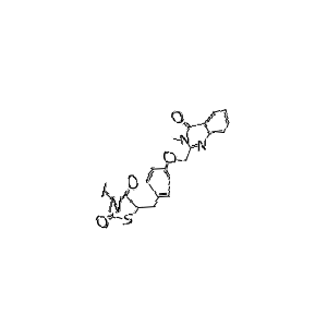 Cn1c(COc2ccc(CC3SC(=O)N(I)C3=O)cc2)nc2ccccc2c1=O